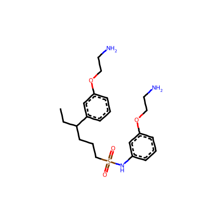 CCC(CCCS(=O)(=O)Nc1cccc(OCCN)c1)c1cccc(OCCN)c1